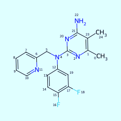 Cc1nc(N(Cc2ccccn2)c2ccc(F)c(F)c2)nc(N)c1C